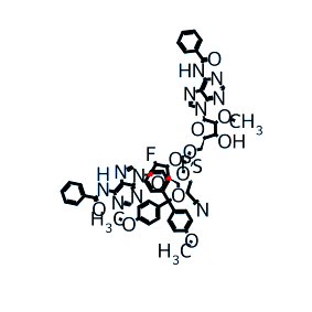 COc1ccc(C(OC[C@H]2O[C@@H](n3cnc4c(NC(=O)c5ccccc5)ncnc43)C(F)C2OP(=S)(OCCC#N)OC[C@H]2O[C@@H](n3cnc4c(NC(=O)c5ccccc5)ncnc43)C(OC)C2O)(c2ccccc2)c2ccc(OC)cc2)cc1